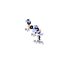 CCN1C[C@H](NC(=O)/C=C/CN(C)C)COc2cc3ncnc(Nc4ccc(Oc5ccn6ccnc6c5)c(C)c4)c3nc21